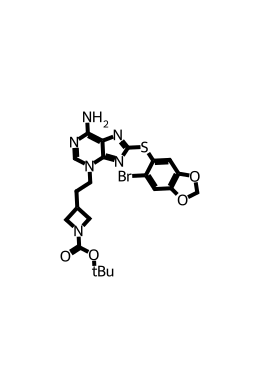 CC(C)(C)OC(=O)N1CC(CCn2cnc(N)c3nc(Sc4cc5c(cc4Br)OCO5)nc2-3)C1